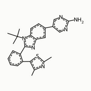 Cc1nc(C)c(-c2ccccc2-c2nc3cc(-c4cnc(N)nc4)ccc3n2C(C)(C)C)s1